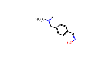 CN(Cc1ccc(/C=N\O)cc1)C(=O)O